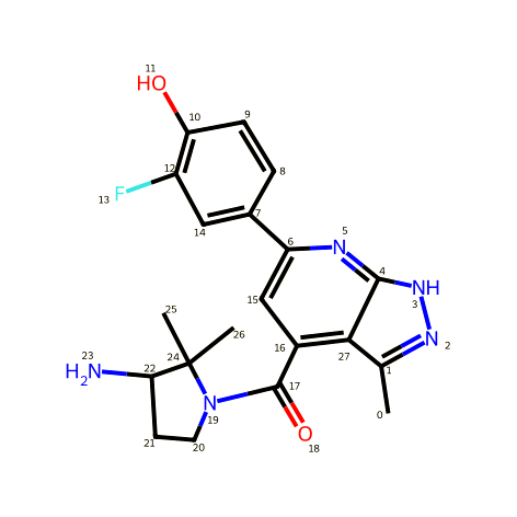 Cc1n[nH]c2nc(-c3ccc(O)c(F)c3)cc(C(=O)N3CCC(N)C3(C)C)c12